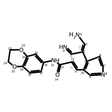 N=C/C(=C\N)c1ccncc1/C=C/C(=O)Nc1ccc2c(c1)OCCO2